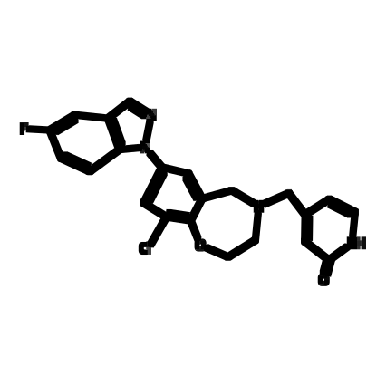 O=c1cc(CN2CCOc3c(Cl)cc(-n4ncc5cc(F)ccc54)cc3C2)cc[nH]1